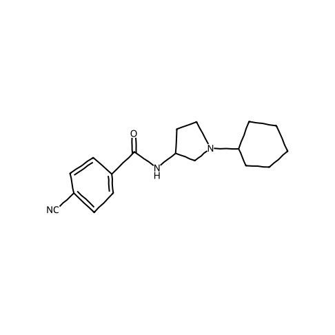 N#Cc1ccc(C(=O)NC2CCN(C3CCCCC3)C2)cc1